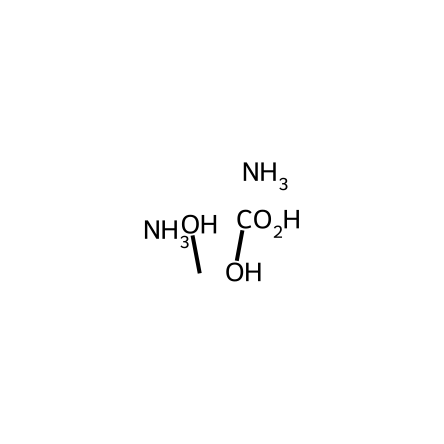 CO.N.N.O=C(O)O